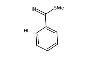 CSC(=N)c1ccccc1.I